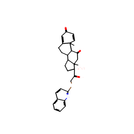 CC12C=CC(=O)C=C1CCC1C2C(=O)CC2(C)C1CC[C@]2(O)C(=O)CSc1ccc2ccccc2n1